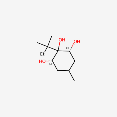 CCC(C)(C)C1(O)[C@H](O)CC(C)C[C@@H]1O